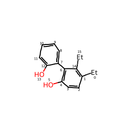 CCc1ccc(O)c(-c2ccccc2O)c1CC